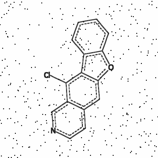 Clc1c2cnccc2cc2oc3ccccc3c12